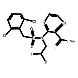 COC(=O)c1nccnc1N(CC(F)F)S(=O)(=O)Cc1c(Cl)cccc1Cl